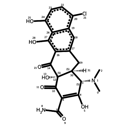 CN(C)[C@@H]1C(O)=C(C(N)=O)C(=O)[C@@]2(O)C(=O)c3c(cc4c(Cl)ccc(O)c4c3O)C[C@@H]12